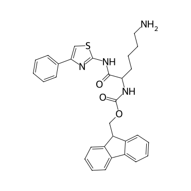 NCCCCC(NC(=O)OCC1c2ccccc2-c2ccccc21)C(=O)Nc1nc(-c2ccccc2)cs1